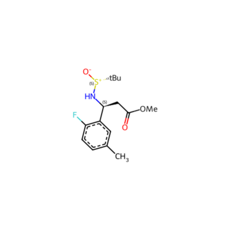 COC(=O)C[C@H](N[S@+]([O-])C(C)(C)C)c1cc(C)ccc1F